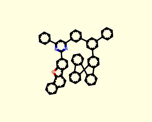 c1ccc(-c2cc(-c3cccc(-c4cc(-c5ccccc5)nc(-c5ccc6c(c5)oc5c7ccccc7ccc65)n4)c3)cc(-c3ccc4c(c3)C3(c5ccccc5-c5ccccc53)c3ccccc3-4)c2)cc1